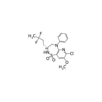 COc1cc2c(nc1Cl)N(c1ccccc1)C[C@@H](CCC(C)(F)F)NS2(=O)=O